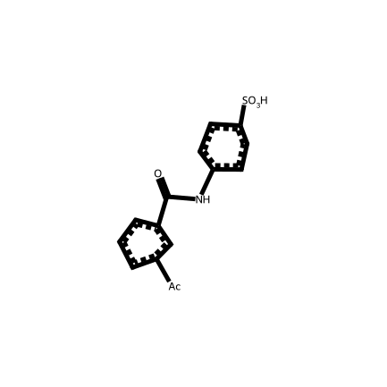 CC(=O)c1cccc(C(=O)Nc2ccc(S(=O)(=O)O)cc2)c1